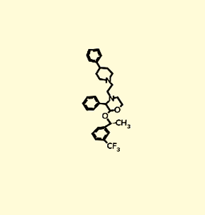 C[C@@H](OC1OCCN(CCN2CCC(c3ccccc3)CC2)C1c1ccccc1)c1cccc(C(F)(F)F)c1